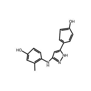 Cc1cc(O)ccc1Nc1cc(-c2ccc(O)cc2)[nH]n1